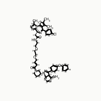 Cc1sc2c(c1C)C(c1ccc(Cl)cc1)=N[C@@H](CC(=O)NCCOCCOC/C=C/C(=O)N1CCC[C@@H](n3nc(-c4ccc(Oc5ccccc5)cc4)c4c(N)ncnc43)C1)c1nnc(C)n1-2